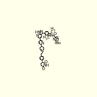 Cc1cc(-c2n[nH]c3ncc(-c4ccc(C5CCN(CCc6ccc([C@@H]7CCC(=O)NC7=O)cc6)CC5)nc4)cc23)ccc1C(C)NC(=O)c1noc(C(C)(C)C)n1